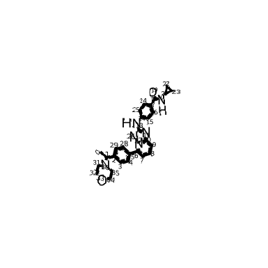 CC(c1ccc(-c2cccc3nc(Nc4ccc(C(=O)NC5CC5)cc4)nn23)cc1)N1CCOCC1